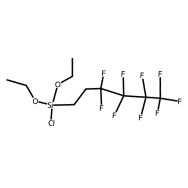 CCO[Si](Cl)(CCC(F)(F)C(F)(F)C(F)(F)C(F)(F)F)OCC